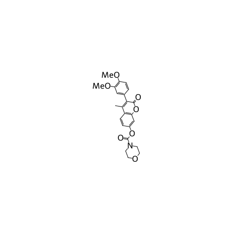 COc1ccc(-c2c(C)c3ccc(OC(=O)N4CCOCC4)cc3oc2=O)cc1OC